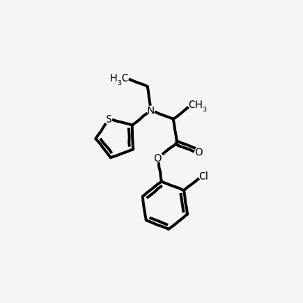 CCN(c1cccs1)C(C)C(=O)Oc1ccccc1Cl